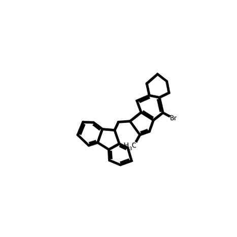 CC1=Cc2c(cc3c(c2Br)CCCC3)C1CC1c2ccccc2-c2ccccc21